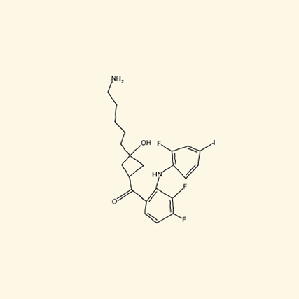 NCCCCCC1(O)CC(C(=O)c2ccc(F)c(F)c2Nc2ccc(I)cc2F)C1